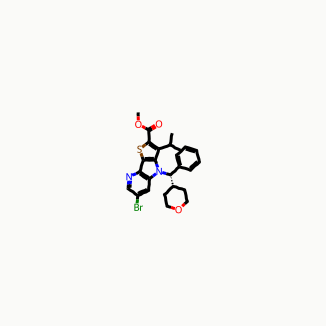 COC(=O)c1sc2c3ncc(Br)cc3n([C@H](c3ccccc3)C3CCOCC3)c2c1C(C)C